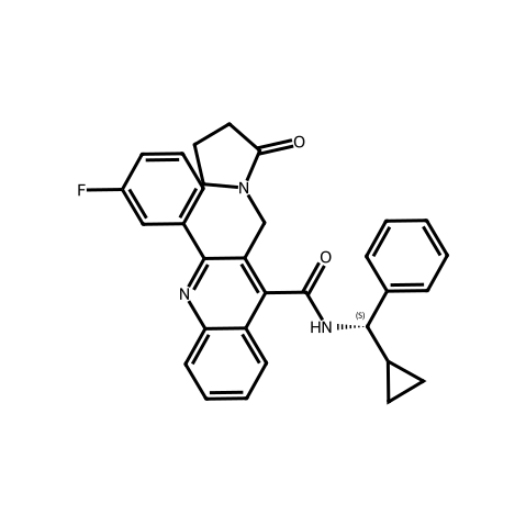 O=C(N[C@H](c1ccccc1)C1CC1)c1c(CN2CCCC2=O)c(-c2cccc(F)c2)nc2ccccc12